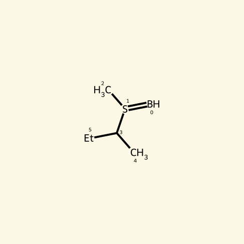 B=S(C)C(C)CC